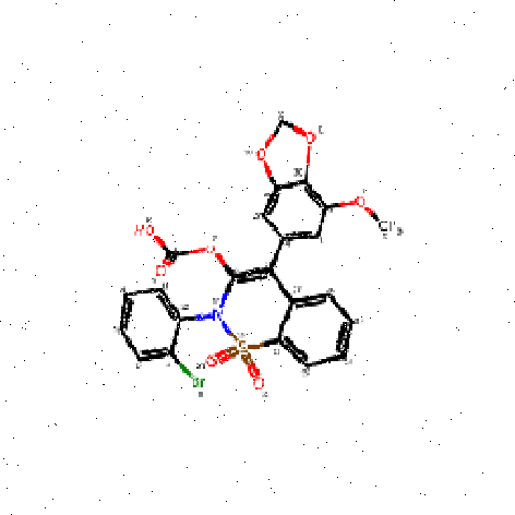 COc1cc(C2=C(OC(=O)O)N(c3ccccc3Br)S(=O)(=O)c3ccccc32)cc2c1OCO2